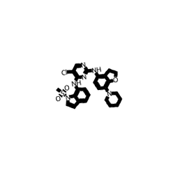 CS(=O)(=O)n1ccc2cccc(Nc3nc(Nc4ccc(N5CC[CH]CC5)c5c4CCO5)ncc3Cl)c21